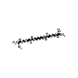 C=C(C)C(=O)OCCOCCNC(=O)OCCCCCCOC(=O)NCCOCCOC(=O)C(=C)C